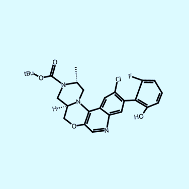 C[C@@H]1CN2c3c(cnc4cc(-c5c(O)cccc5F)c(Cl)cc34)OC[C@H]2CN1C(=O)OC(C)(C)C